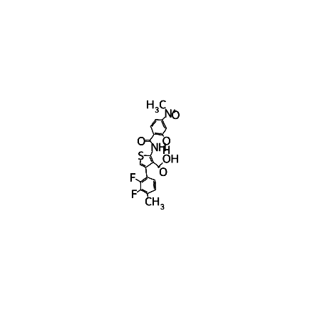 Cc1ccc(-c2csc(NC(=O)c3ccc([N+](C)=O)cc3O)c2C(=O)O)c(F)c1F